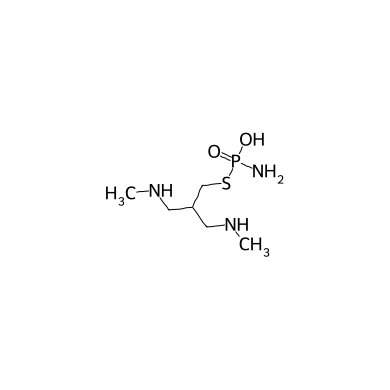 CNCC(CNC)CSP(N)(=O)O